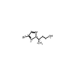 C[C@H](CCO)n1ncc(Br)n1